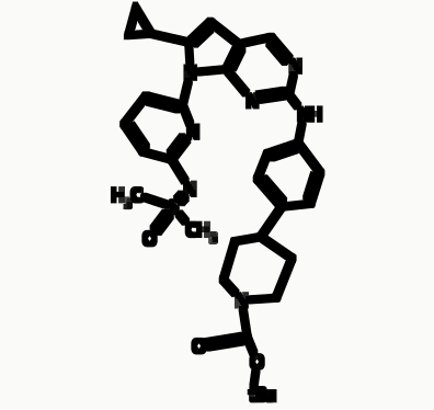 CC(C)(C)OC(=O)N1CCC(c2ccc(Nc3ncc4cc(C5CC5)n(-c5cccc(N=S(C)(C)=O)n5)c4n3)cc2)CC1